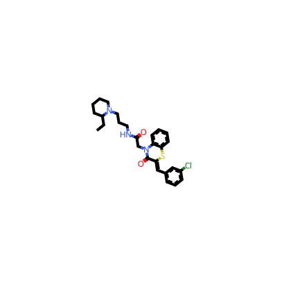 CCC1CCCCN1CCCNC(=O)CN1C(=O)C(=Cc2cccc(Cl)c2)Sc2ccccc21